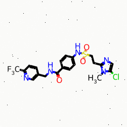 Cn1c(Cl)cnc1CCS(=O)(=O)Nc1ccc(C(=O)NCc2ccc(C(F)(F)F)nc2)cc1